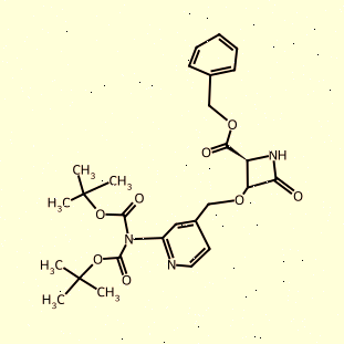 CC(C)(C)OC(=O)N(C(=O)OC(C)(C)C)c1cc(COC2C(=O)N[C@@H]2C(=O)OCc2ccccc2)ccn1